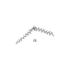 CCCCCCCCCCCCCCCC[N+](C)(C)CCCCCCCCCCCCCC.[Cl-]